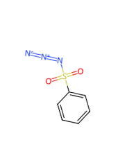 [N-]=[N+]=NS(=O)(=O)c1ccccc1